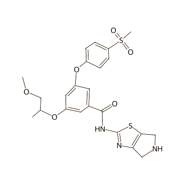 COCC(C)Oc1cc(Oc2ccc(S(C)(=O)=O)cc2)cc(C(=O)Nc2nc3c(s2)CNC3)c1